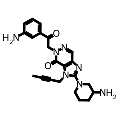 CC#CCn1c(N2CCCC(N)C2)nc2cnn(CC(=O)c3cccc(N)c3)c(=O)c21